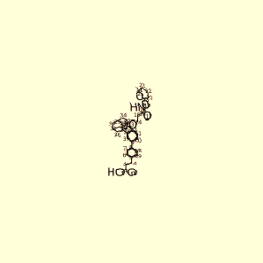 O=C(O)C=Cc1ccc(-c2ccc(OCCC(=O)NOC3CCCCO3)c(C34CC5CC(CC(C5)C3)C4)c2)cc1